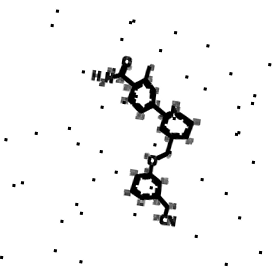 Cc1cc(-c2cc(COc3cccc(CC#N)c3)ccn2)ccc1C(N)=O